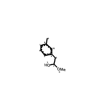 COC(O)Cc1cccc(C)c1